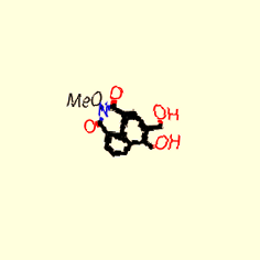 CON1C(=O)c2cccc3c(CO)c(CO)cc(c23)C1=O